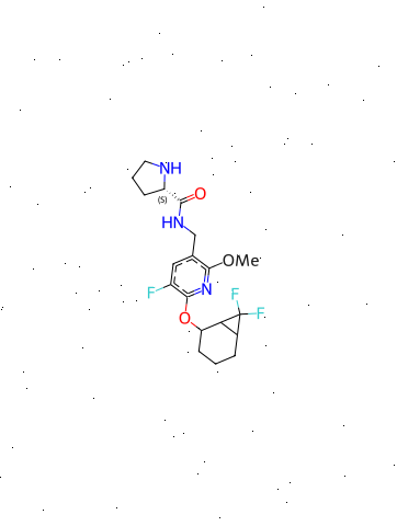 COc1nc(OC2CCCC3C2C3(F)F)c(F)cc1CNC(=O)[C@@H]1CCCN1